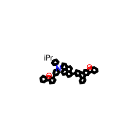 CC(C)c1ccc(N(c2ccc(-c3cccc4c3oc3ccccc34)cc2)c2ccc3ccc4c(-c5ccc6c(c5)c5ccccc5c5cc7c(cc65)oc5ccccc57)ccc5ccc2c3c54)cc1